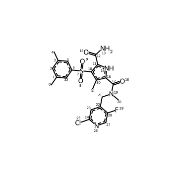 Cc1cc(C)cc(S(=O)(=O)c2c(C(N)=O)[nH]c(C(=O)N(C)Cc3cc(Cl)ncc3F)c2C)c1